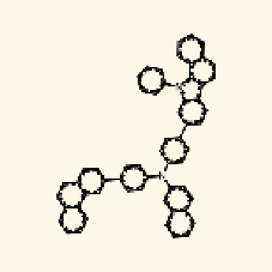 c1ccc(-n2c3cc(-c4ccc(N(c5ccc(-c6ccc7ccc8ccccc8c7c6)cc5)c5ccc6ccccc6c5)cc4)ccc3c3ccc4ccccc4c32)cc1